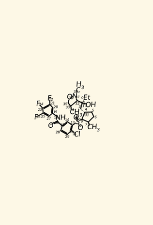 CC[C@](O)(C[C@@H]1CCC(C)C1S(=O)(=O)c1cc(C(=O)Nc2cc(F)c(F)c(F)c2)ccc1Cl)C1C(C)CON1C